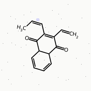 C=CC1=C(/C=C\C)C(=O)C2C=CC=CC2C1=O